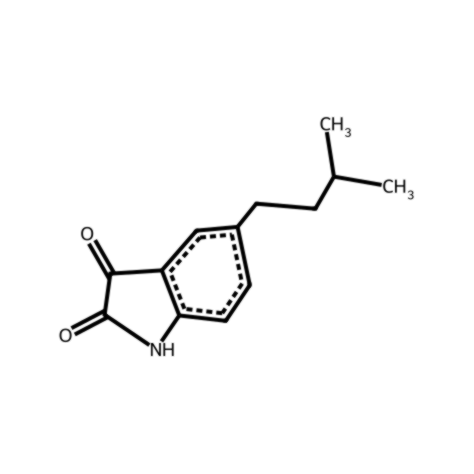 CC(C)CCc1ccc2c(c1)C(=O)C(=O)N2